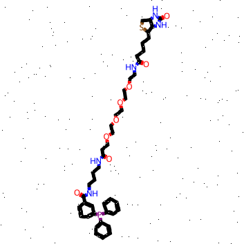 O=C(CCCCC1SCC2NC(=O)NC21)NCCOCCOCCOCCOCCC(=O)NCCCCNC(=O)c1cccc(P(c2ccccc2)c2ccccc2)c1